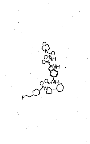 O=C(NS(=O)(=O)N1CCOCC1)c1cc2cc(NC(=O)[C@@H]3[C@H](C4CCCCC4)CCN3C(=O)C3CCC(CCF)CC3)ccc2[nH]1